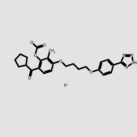 Cc1c(OCCCCOc2ccc(-c3nn[nH]n3)cc2)ccc(C(=O)C2CCCC2)c1OC(=O)[O-].[K+]